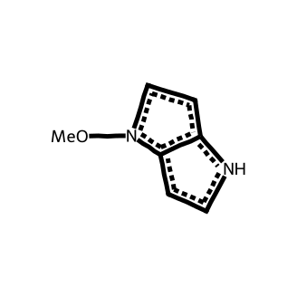 COn1ccc2[nH]ccc21